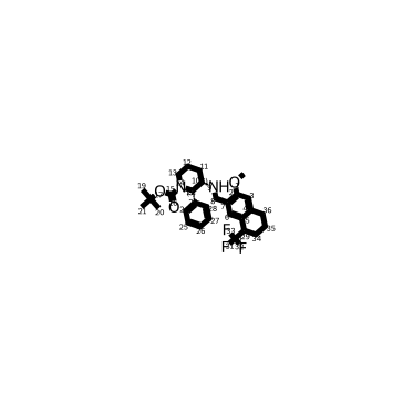 COc1cc2c(cc1CN[C@H]1CCCN(C(=O)OC(C)(C)C)[C@H]1c1ccccc1)C(C(F)(F)F)CCC2